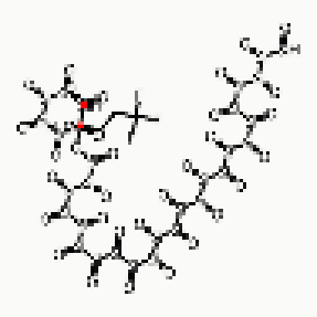 C[Si](CCC(F)(F)F)(O[Si](=O)[Si](=O)[Si](=O)[Si](=O)[Si](=O)[Si](=O)[Si](=O)[Si](=O)[Si](=O)[Si](=O)[Si](=O)[Si](=O)[Si](=O)[Si](=O)[Si](=O)[Si](=O)[Si](=O)[Si](=O)[Si](=O)[Si](=O)[Si](=O)[Si](=O)[Si](=O)[SiH]=O)[Si](=O)[Si](=O)[Si](=O)[Si](=O)[Si](=O)[Si](=O)[SiH]=O